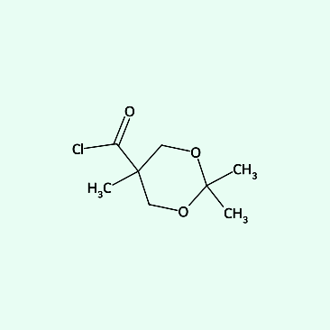 CC1(C)OCC(C)(C(=O)Cl)CO1